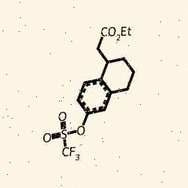 CCOC(=O)CC1CCCc2cc(OS(=O)(=O)C(F)(F)F)ccc21